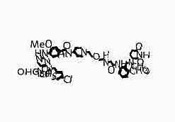 CCC(C)N(Cc1cc(Cl)cs1)c1nc(Nc2ccc(C(=O)NC3CCN(CCOCCNCC(=O)Nc4cccc(C=O)c4CN(C)C4CCC(=O)NC4=O)CC3)cc2OC)ncc1N(C)C=O